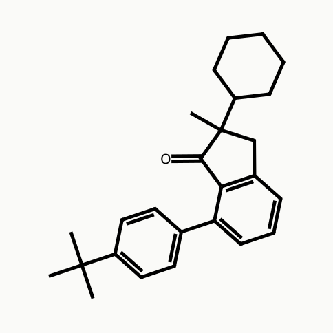 CC(C)(C)c1ccc(-c2cccc3c2C(=O)C(C)(C2CCCCC2)C3)cc1